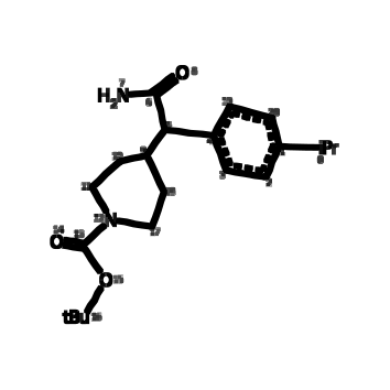 CC(C)c1ccc(C(C(N)=O)C2CCN(C(=O)OC(C)(C)C)CC2)cc1